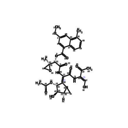 COc1cc(C(=O)O[C@H](C(=O)N/C(C(=O)N/C(=C\O)C(C)=O)=C2\[C@@H](OC(C)=O)[C@H](O)[C@@H]3CN23)[C@]2(C)CO2)c2cccc(C)c2c1